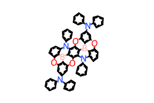 c1ccc(N(c2ccccc2)c2cc3c4c(c2)Oc2c5c(c6c7c2N(c2ccccc2)c2cccc8c2B7c2c(cc(N(c7ccccc7)c7ccccc7)cc2O6)O8)N(c2ccccc2)c2cccc(c2B45)O3)cc1